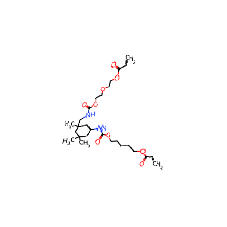 C=CC(=O)OCCCCCOC(=O)NC1CC(C)(C)CC(C)(CNC(=O)OCCOCCOC(=O)C=C)C1